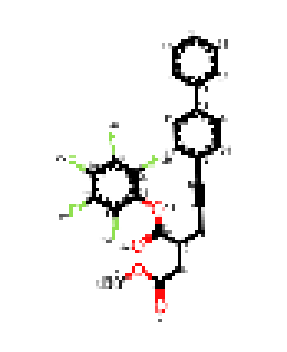 CC(C)(C)OC(=O)CC(CC#Cc1ccc(-c2ccccc2)cc1)C(=O)Oc1c(F)c(F)c(F)c(F)c1F